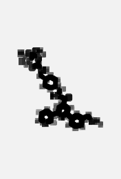 CC(C)(C)OC(=O)NC[C@H]1CC[C@H](CNC(=O)c2cc(-c3cccnc3)nc(-c3cccc(CN)c3)c2)CC1